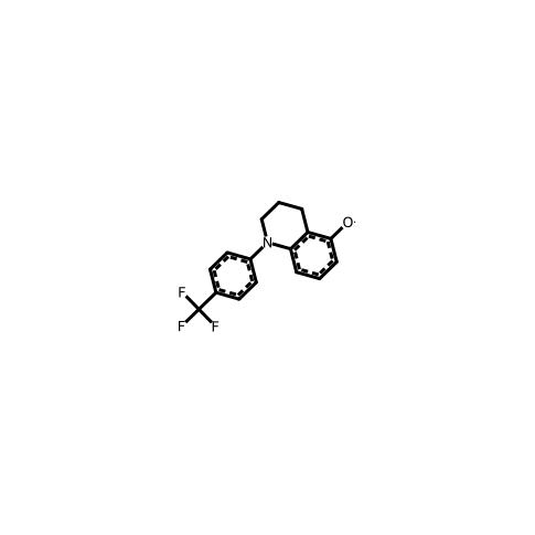 [O]c1cccc2c1CCCN2c1ccc(C(F)(F)F)cc1